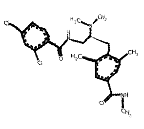 CNC(=O)c1cc(C)c(C[C@@H](CNC(=O)c2ccc(Cl)cc2Cl)N(C)C)c(C)c1